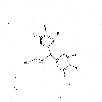 CCCCO[C@@H](C)C(c1cc(F)c(F)c(F)c1)c1cc(F)c(F)c(F)c1